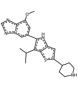 COc1cc(-c2[nH]c3cc(C4CCNCC4)sc3c2C(C)C)cn2ncnc12